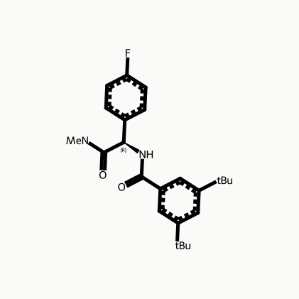 CNC(=O)[C@H](NC(=O)c1cc(C(C)(C)C)cc(C(C)(C)C)c1)c1ccc(F)cc1